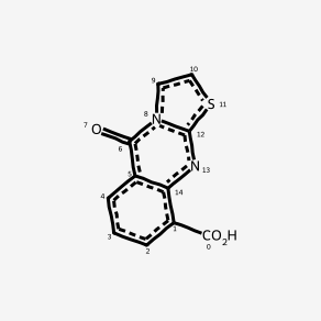 O=C(O)c1cccc2c(=O)n3ccsc3nc12